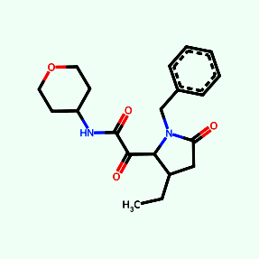 CCC1CC(=O)N(Cc2ccccc2)C1C(=O)C(=O)NC1CCOCC1